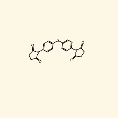 O=C1CCC(=O)N1c1ccc(Sc2ccc(N3C(=O)CCC3=O)cc2)cc1